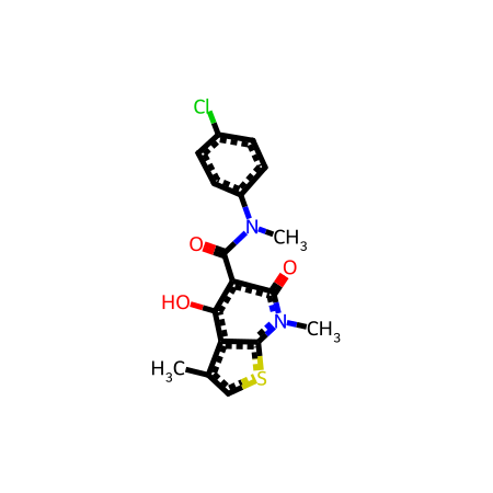 Cc1csc2c1c(O)c(C(=O)N(C)c1ccc(Cl)cc1)c(=O)n2C